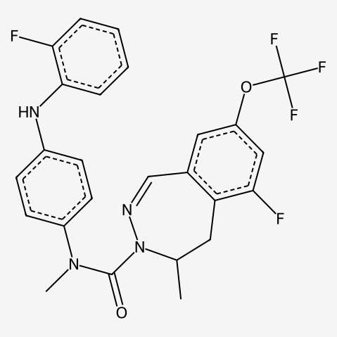 CC1Cc2c(F)cc(OC(F)(F)F)cc2C=NN1C(=O)N(C)c1ccc(Nc2ccccc2F)cc1